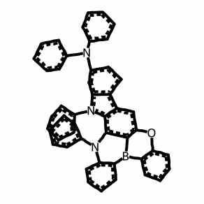 c1ccc(N(c2ccccc2)c2ccc3c4cc5c6c(c4n(-c4ccccc4)c3c2)N(c2ccccc2)c2ccccc2B6c2ccccc2O5)cc1